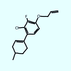 C=CCOc1ccc(C2=CCC(C)CC2)c(Cl)c1F